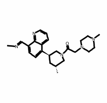 C/N=C/c1ccc([C@@H]2C[C@@H](C)CN(C(=O)CN3CCN(C)CC3)C2)c2cccnc12